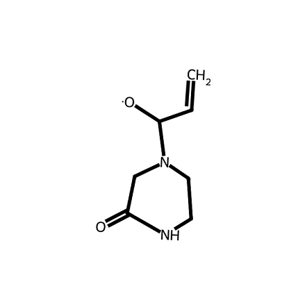 C=CC([O])N1CCNC(=O)C1